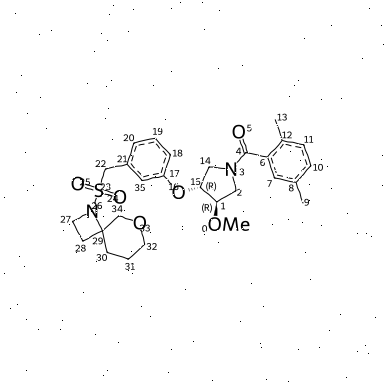 CO[C@@H]1CN(C(=O)c2cc(C)ccc2C)C[C@H]1Oc1cccc(CS(=O)(=O)N2CCC23CCCOC3)c1